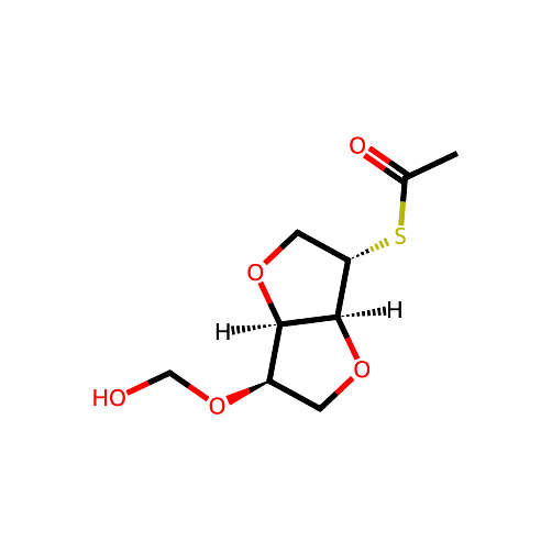 CC(=O)S[C@H]1CO[C@H]2[C@@H]1OC[C@H]2OCO